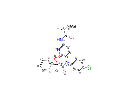 CNC(C)C(=O)Nc1ccc2c(n1)OC(C)(c1ccccc1)C(=O)N2c1ccc(Cl)cc1